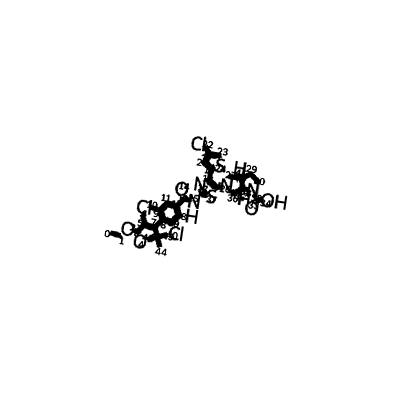 CCOC(=O)C(C)=C(c1c(Cl)cc(C(=O)Nc2nc(-c3cc(Cl)cs3)c(N3C[C@@H]4CCN(C(=O)O)[C@@H]4C3)s2)cc1Cl)C(C)(C)C